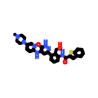 CN1CCN(c2ccc(Nc3cc(-c4cccc(NC(=O)c5cc6ccccc6s5)c4CO)n[nH]c3=O)nc2)CC1